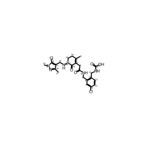 CC1=C(CC(=O)NCc2cc(Cl)ccc2CNC(=O)O)C(=O)N(NCc2c(C)nn(C)c2Cl)CC1